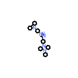 c1ccc(N2c3ccccc3N(c3ccc(-c4cn(-c5ccc(-n6c7ccccc7c7ccccc76)cc5)nn4)cc3)c3ccccc32)cc1